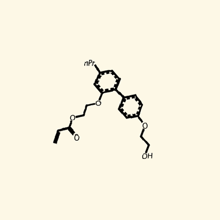 C=CC(=O)OCCOc1cc(CCC)ccc1-c1ccc(OCCO)cc1